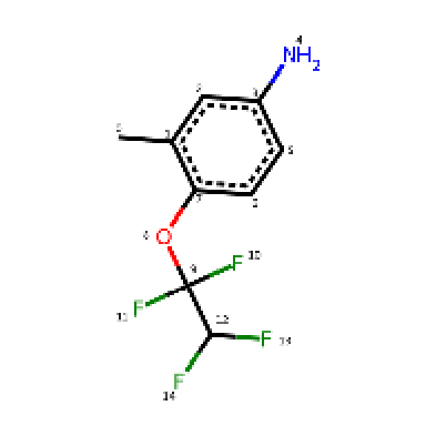 Cc1cc(N)ccc1OC(F)(F)C(F)F